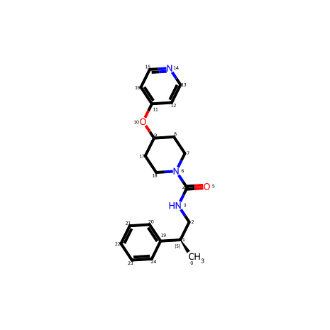 C[C@H](CNC(=O)N1CCC(Oc2ccncc2)CC1)c1ccccc1